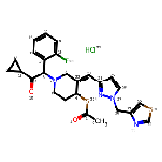 CC(=O)SC1CCN(C(C(=O)C2CC2)c2ccccc2F)CC1=Cc1ccn(Cc2cscn2)n1.Cl